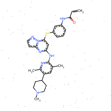 C=CC(=O)Nc1cccc(Sc2cc(Nc3nc(C)c(C4CCN(C)CC4)cc3C)nc3ccnn23)c1